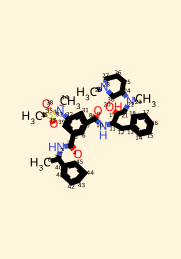 CC(NC(=O)c1cc(C(=O)NC(Cc2ccccc2)C(O)CN(C)C2CCCN(C)C2)cc(N(C)S(C)(=O)=O)c1)c1ccccc1